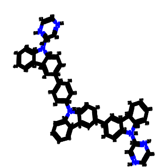 c1ccc2c(c1)c1cc(-c3ccc4c(c3)c3ccccc3n4-c3cnccn3)ccc1n2-c1ccc(-c2ccc3c(c2)c2ccccc2n3-c2cnccn2)cc1